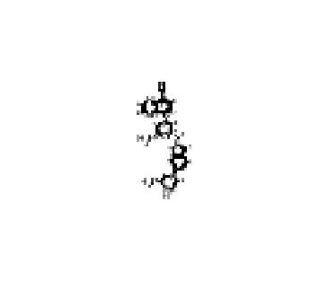 C[C@@H]1CN(c2ccc3c(c2)CN(C[C@H]2CN(c4ccc(C#N)c5nccnc45)C[C@@H](C)O2)C3)CCN1